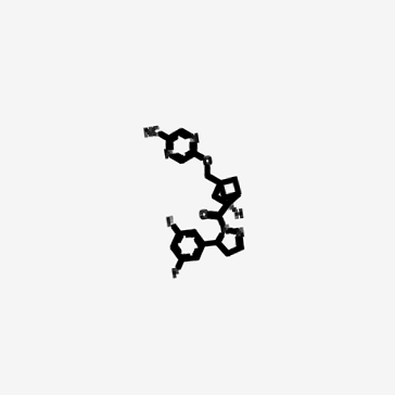 N#Cc1cnc(OCC23CC(C2)[C@@H](C(=O)N2N=CCC2c2cc(F)cc(F)c2)C3)cn1